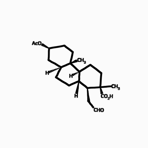 CC(=O)O[C@H]1CC[C@@]2(C)[C@@H](CC[C@@H]3[C@@H]2CC[C@@](C)(C(=O)O)[C@H]3CC=O)C1